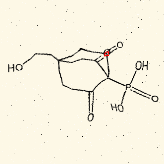 O=C1CC2(CO)CC(=O)C1(P(=O)(O)O)C(=O)C2